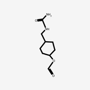 NC(=O)NCC1CCC(OC=O)CC1